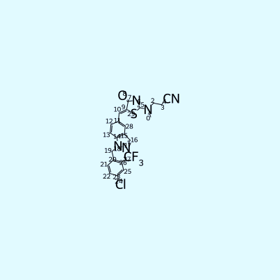 CN(CCC#N)C1=NC(=O)C(=Cc2ccc3c(cnn3Cc3ccc(Cl)cc3C(F)(F)F)c2)S1